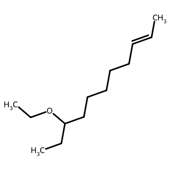 CC=CCCCCCC(CC)OCC